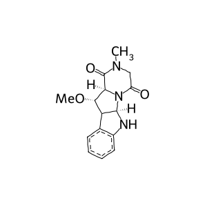 CO[C@H]1C2c3ccccc3N[C@@H]2N2C(=O)CN(C)C(=O)[C@H]12